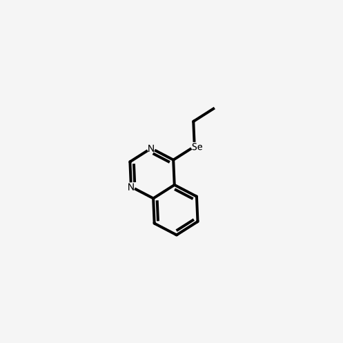 CC[Se]c1ncnc2ccccc12